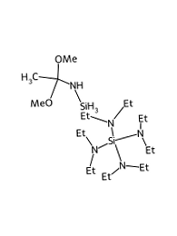 CCN(CC)[Si](N(CC)CC)(N(CC)CC)N(CC)CC.COC(C)(N[SiH3])OC